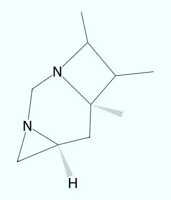 CC1C(C)[C@@]2(C)C[C@H]3CN3CN12